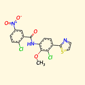 COc1c(NC(=O)c2cc([N+](=O)[O-])ccc2Cl)ccc(-c2nccs2)c1Cl